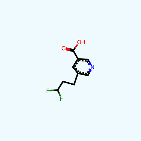 O=C(O)c1cncc(CCC(F)F)c1